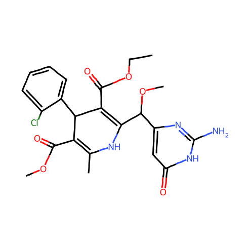 CCOC(=O)C1=C(C(OC)c2cc(=O)[nH]c(N)n2)NC(C)=C(C(=O)OC)C1c1ccccc1Cl